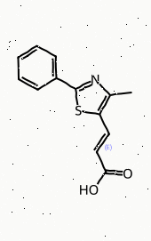 Cc1nc(-c2ccccc2)sc1/C=C/C(=O)O